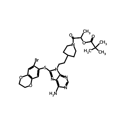 CC(OC(=O)C(C)(C)C)C(=O)N1CCC(CCn2c(Sc3cc4c(cc3Br)OCCO4)nc3c(N)ncnc32)CC1